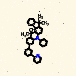 CC1(C)c2ccccc2-c2c1ccc1c2C(C)(C)c2ccc(-c3cccc(-c4ccccn4)c3)cc2N1c1ccccc1